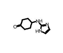 O=C1CCC(Nc2ncc[nH]2)CC1